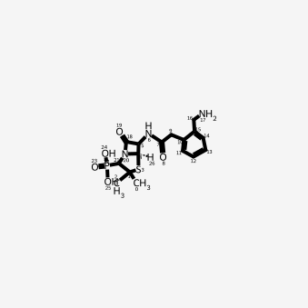 CC1(C)S[C@@H]2C(NC(=O)Cc3ccccc3CN)C(=O)N2C1P(=O)(O)O